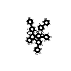 c1ccc(-c2ccc(N(c3cccc4c3oc3ccccc34)c3cc(-c4ccccc4)cc4oc5c6ccccc6c(-c6cccc(-c7ccccc7)c6)cc5c34)cc2)cc1